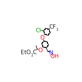 CCOC(=O)C(C)Oc1cc(Oc2ccc(C(F)(F)F)cc2Cl)ccc1/C=N/O